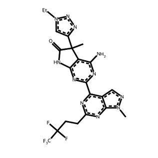 CCn1cc(C2(C)C(=O)Nc3nc(-c4nc(CCC(F)(F)C(F)(F)F)nc5c4cnn5C)nc(N)c32)nn1